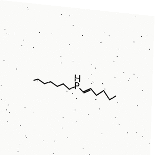 CCCCC=CPCCCCCCC